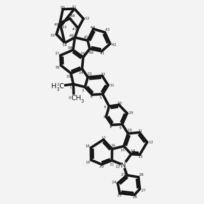 CC1(C)c2cc(-c3ccc(-c4cccc5c4c4ccccc4n5-c4ccccc4)cc3)ccc2-c2c1ccc1c2-c2ccccc2C12C1CC3CC(C1)CC2C3